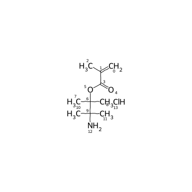 C=C(C)C(=O)OC(C)(C)C(C)(C)N.Cl